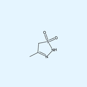 CC1=NNS(=O)(=O)C1